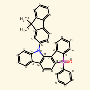 CC1(C)c2ccccc2-c2ccc(-n3c4ccccc4c4ccc5c(c43)-c3ccccc3P5(=O)c3ccccc3)cc21